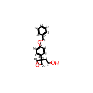 OCCC1(c2ccc(OCc3ccccc3)cc2)COC1